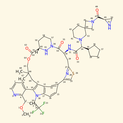 CO[C@@H](C)c1ncccc1-c1c2c3cc(ccc3n1CC(F)(F)F)-c1csc(n1)C[C@H](NC(=O)[C@H](C1CCCC1)N1CCCC3(CN(C(=O)[C@H]4CN4)C3)C1)C(=O)N1CCC[C@H](N1)C(=O)OCC(C)(C)C2